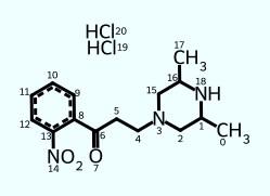 CC1CN(CCC(=O)c2ccccc2[N+](=O)[O-])CC(C)N1.Cl.Cl